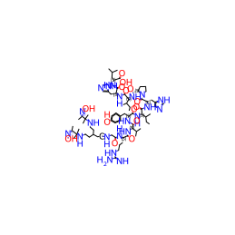 CCC(C)[C@H](NC(=O)[C@H](Cc1ccc(O)cc1)NC(=O)[C@@H](NC(=O)[C@H](CCCNC(=N)N)NC(=O)CNCCC(CCNC(C)(C)/C(C)=N\O)CCNC(C)(C)/C(C)=N\O)C(C)C)C(=O)N[C@@H](Cc1cnc[nH]1)C(=O)N1CCC[C@H]1C(=O)N[C@H](C(=O)N[C@@H](Cc1cnc[nH]1)C(=O)N[C@@H](CC(C)C)C(=O)O)C(C)CC